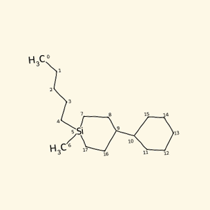 CCCCC[Si]1(C)CCC(C2CCCCC2)CC1